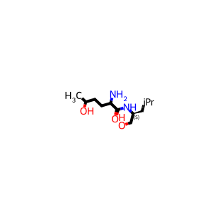 CC(C)C[C@@H](CO)NC(=O)C(N)CCC(C)O